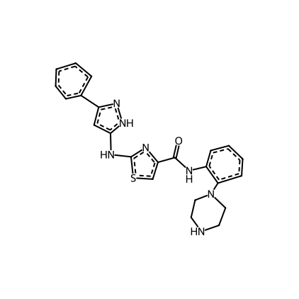 O=C(Nc1ccccc1N1CCNCC1)c1csc(Nc2cc(-c3ccccc3)n[nH]2)n1